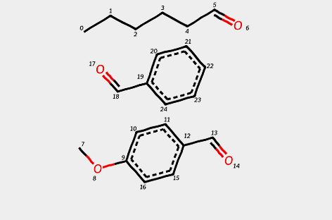 CCCCCC=O.COc1ccc(C=O)cc1.O=Cc1ccccc1